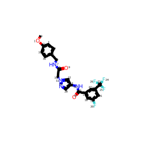 COc1ccc(CNC(=O)Cn2cc(NC(=O)c3cc(F)cc(C(F)(F)F)c3)cn2)cc1